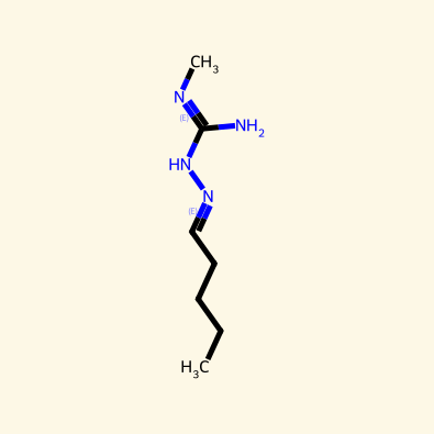 CCCC/C=N/N/C(N)=N/C